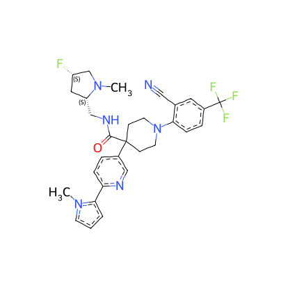 CN1C[C@@H](F)C[C@H]1CNC(=O)C1(c2ccc(-c3cccn3C)nc2)CCN(c2ccc(C(F)(F)F)cc2C#N)CC1